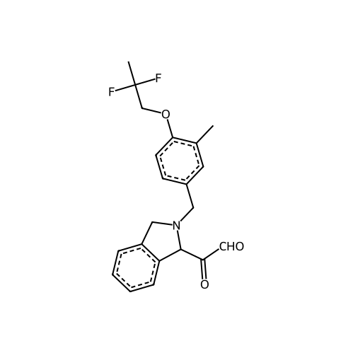 Cc1cc(CN2Cc3ccccc3C2C(=O)C=O)ccc1OCC(C)(F)F